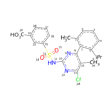 Cc1cccc(C(C)C)c1-c1nc(NS(=O)(=O)c2cccc(C(=O)O)c2)nc(Cl)c1C